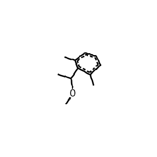 COC(C)c1c(C)cccc1C